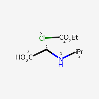 CC(C)NCC(=O)O.CCOC(=O)Cl